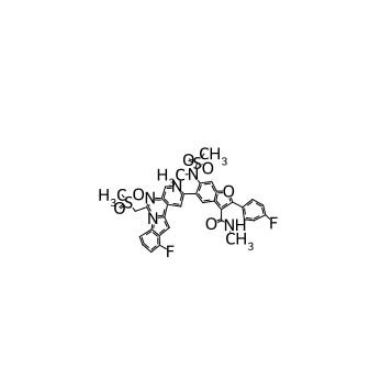 CNC(=O)c1c(-c2ccc(F)cc2)oc2cc(N(C)S(C)(=O)=O)c(-c3cc4c(cn3)nc(CS(C)(=O)=O)n3c5cccc(F)c5cc43)cc12